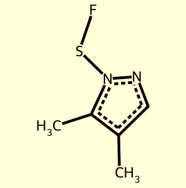 Cc1cnn(SF)c1C